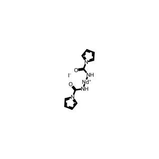 O=C([NH][Nd+][NH]C(=O)n1cccc1)n1cccc1.[I-]